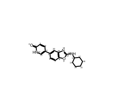 O=c1ccc(-c2ccc3oc(NC4CCCCC4)nc3c2)c[nH]1